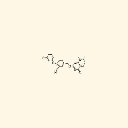 C[C@@H]1CCn2c(cc(OCc3ccc(Oc4cccc(F)c4)c(C#N)c3)nc2=O)N1C